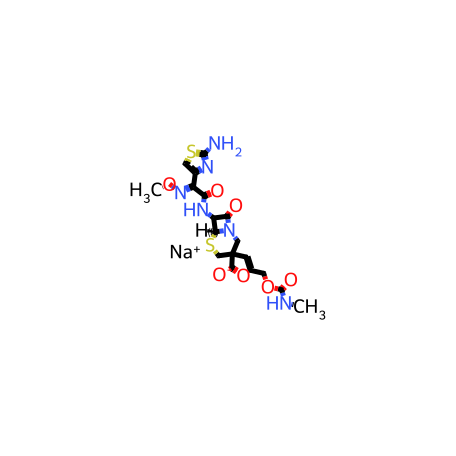 CNC(=O)OCC=CC1(C(=O)[O-])CS[C@@H]2C(NC(=O)C(=NOC)c3csc(N)n3)C(=O)N2C1.[Na+]